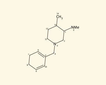 CNC1CN(CC2=CCCC=C2)CCC1C